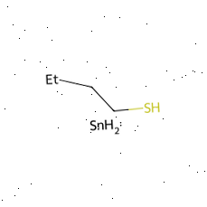 CCCCS.[SnH2]